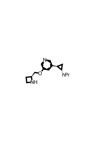 CCC[C@H]1C[C@@H]1c1cncc(OC[C@@H]2CCN2)c1